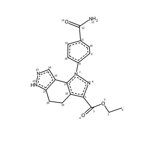 CCOC(=O)c1nn(-c2ccc(C(N)=O)cc2)c2c1CCc1[nH]ncc1-2